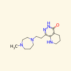 CN1CCCN(CCc2n[nH]c(=O)c3c2NCCC3)CC1